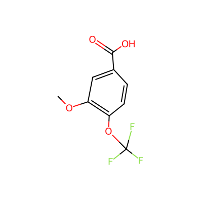 COc1cc(C(=O)O)ccc1OC(F)(F)F